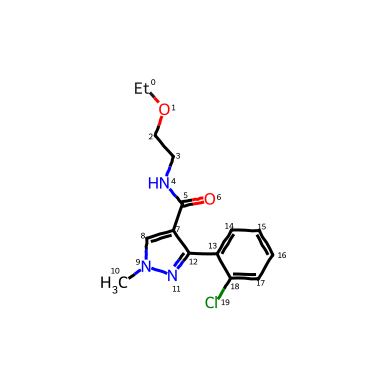 CCOCCNC(=O)c1cn(C)nc1-c1ccccc1Cl